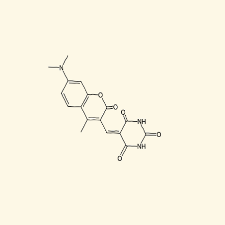 Cc1c(C=C2C(=O)NC(=O)NC2=O)c(=O)oc2cc(N(C)C)ccc12